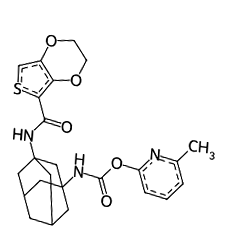 Cc1cccc(OC(=O)NC23CC4CC(C2)CC(NC(=O)c2scc5c2OCCO5)(C4)C3)n1